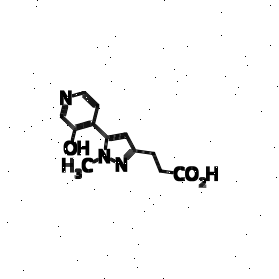 Cn1nc(CCC(=O)O)cc1-c1ccncc1O